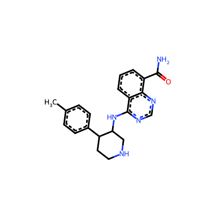 Cc1ccc(C2CCNCC2Nc2ncnc3c(C(N)=O)cccc23)cc1